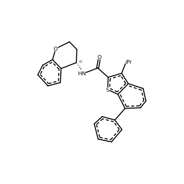 CC(C)c1c(C(=O)N[C@H]2CCOc3ccccc32)sc2c(-c3ccccc3)cccc12